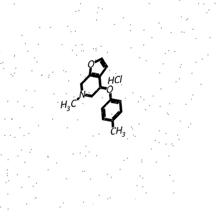 Cc1ccc(OC2CN(C)Cc3occc32)cc1.Cl